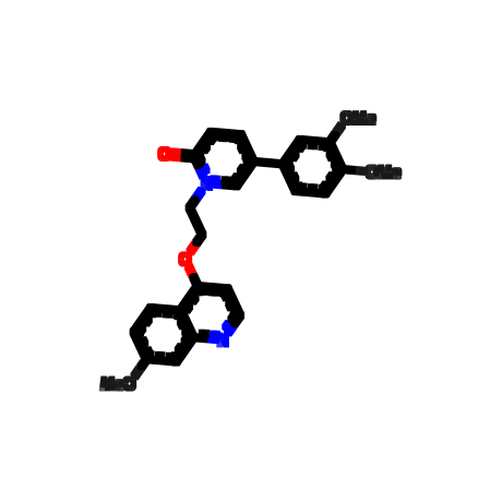 COc1ccc2c(OCCn3cc(-c4ccc(OC)c(OC)c4)ccc3=O)ccnc2c1